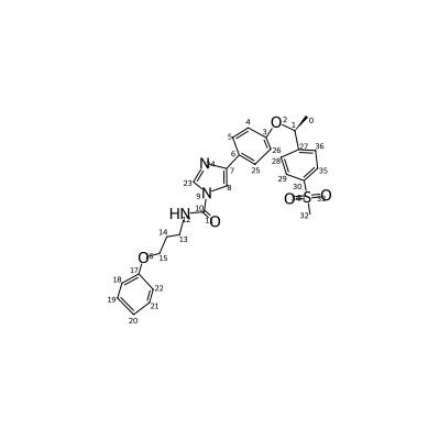 C[C@H](Oc1ccc(-c2cn(C(=O)NCCCOc3ccccc3)cn2)cc1)c1ccc(S(C)(=O)=O)cc1